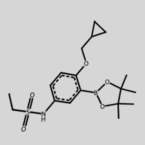 CCS(=O)(=O)Nc1ccc(OCC2CC2)c(B2OC(C)(C)C(C)(C)O2)c1